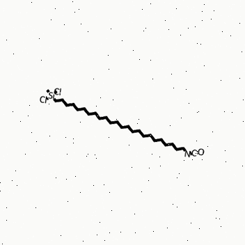 C[Si](Cl)(Cl)CCCCCCCCCCCCCCCCCCCCCCCCN=C=O